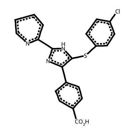 O=C(O)c1ccc(-c2nc(-c3ccccn3)[nH]c2Sc2ccc(Cl)cc2)cc1